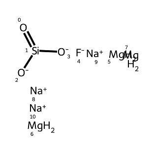 O=[Si]([O-])[O-].[F-].[MgH2].[MgH2].[MgH2].[Na+].[Na+].[Na+]